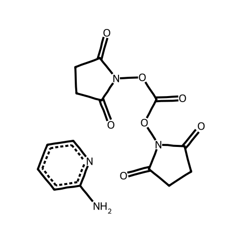 Nc1ccccn1.O=C(ON1C(=O)CCC1=O)ON1C(=O)CCC1=O